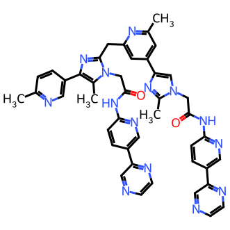 Cc1ccc(-c2nc(Cc3cc(-c4cn(CC(=O)Nc5ccc(-c6cnccn6)cn5)c(C)n4)cc(C)n3)n(CC(=O)Nc3ccc(-c4cnccn4)cn3)c2C)cn1